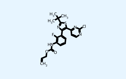 C=CCOC(=O)Nc1cccc(-c2nc(C(C)(C)C)sc2-c2ccnc(Cl)n2)c1F